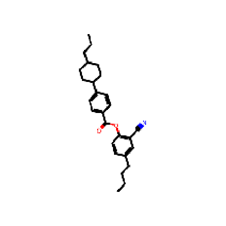 CCCCc1ccc(OC(=O)c2ccc(C3CCC(CCC)CC3)cc2)c(C#N)c1